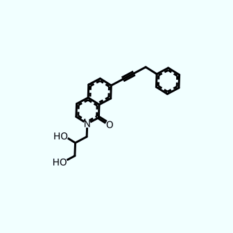 O=c1c2cc(C#CCc3ccccc3)ccc2ccn1CC(O)CO